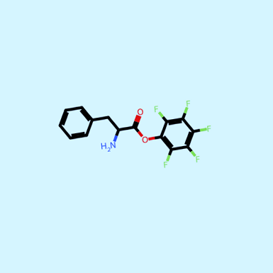 NC(Cc1ccccc1)C(=O)Oc1c(F)c(F)c(F)c(F)c1F